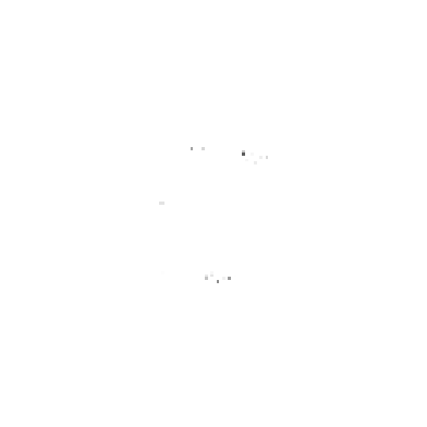 COC(=O)CCC(F)(F)CCC(=O)OC